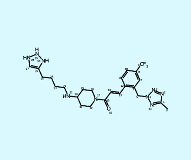 Cc1nnn(Cc2cc(C(F)(F)F)ccc2/C=C/C(=O)N2CCC(NCCCCC3=CNNN3)CC2)n1